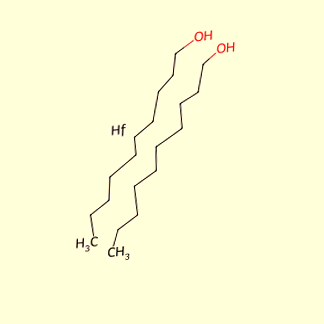 CCCCCCCCCCO.CCCCCCCCCCO.[Hf]